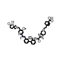 COc1cc(/C(F)=C/c2cccc(-c3cccc(NC(=O)c4nc5c(n4C)CCN(CCC46CCC(C(=O)O)(CC4)C6)C5)c3Cl)c2Cl)ncc1CN1CC2(CCC(=O)N2)C1